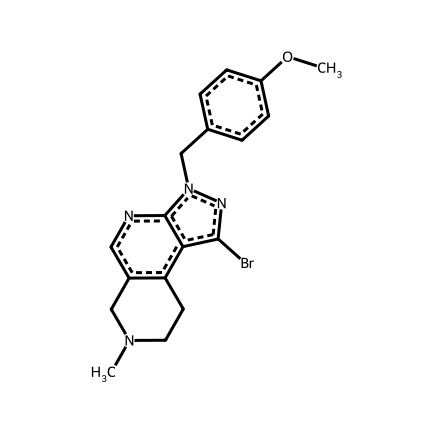 COc1ccc(Cn2nc(Br)c3c4c(cnc32)CN(C)CC4)cc1